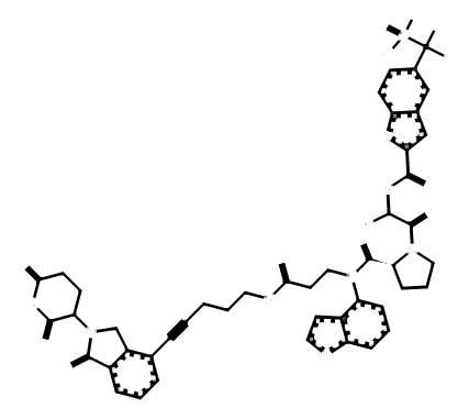 CC(C)(C)C(NC(=O)c1cc2cc(C(F)(F)P(=O)(O)O)ccc2s1)C(=O)N1CCC[C@H]1C(=O)N(CCC(=O)NCCCC#Cc1cccc2c1CN(C1CCC(=O)NC1=O)C2=O)c1cccc2sccc12